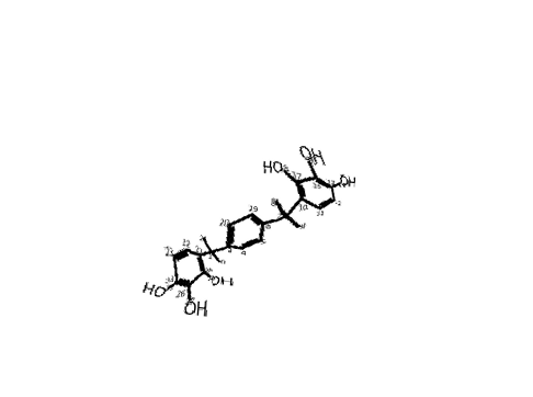 CC(C)(c1ccc(C(C)(C)c2ccc(O)c(O)c2O)cc1)c1ccc(O)c(O)c1O